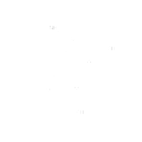 CCOC1=C(OCC)C(=O)c2c(N)cccc2C1=O